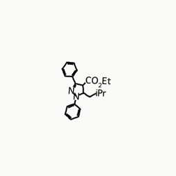 CCOC(=O)C1C(c2ccccc2)=NN(c2ccccc2)C1CC(C)C